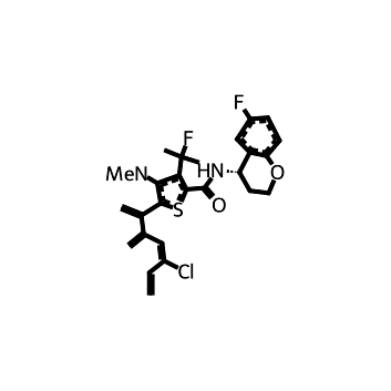 C=C/C(Cl)=C\C(=C)C(=C)c1sc(C(=O)N[C@H]2CCOc3ccc(F)cc32)c(C(C)(C)F)c1NC